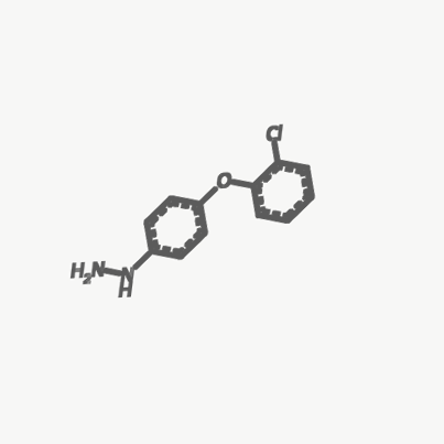 NNc1ccc(Oc2ccccc2Cl)cc1